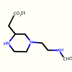 CCOC(=O)CC1CN(CCN[C]=O)CCN1